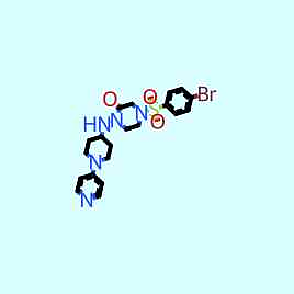 O=C1CN(S(=O)(=O)c2ccc(Br)cc2)CCN1NC1CCN(c2ccncc2)CC1